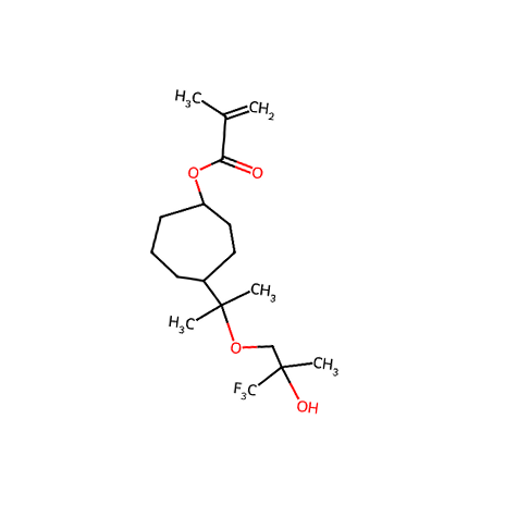 C=C(C)C(=O)OC1CCCC(C(C)(C)OCC(C)(O)C(F)(F)F)CC1